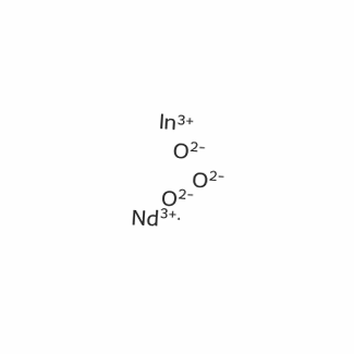 [In+3].[Nd+3].[O-2].[O-2].[O-2]